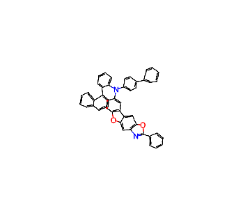 c1ccc(-c2ccc(N(c3ccc4oc5cc6nc(-c7ccccc7)oc6cc5c4c3)c3ccccc3-c3cccc4ccccc34)cc2)cc1